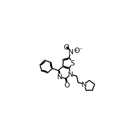 O=c1nc(-c2ccccc2)c2cc([N+](=O)[O-])sc2n1CCN1CCCC1